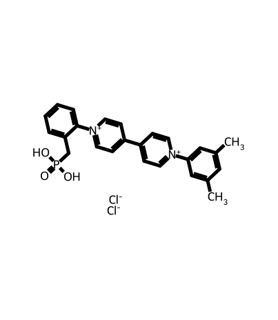 Cc1cc(C)cc(-[n+]2ccc(-c3cc[n+](-c4ccccc4CP(=O)(O)O)cc3)cc2)c1.[Cl-].[Cl-]